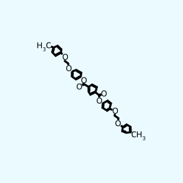 Cc1ccc(OCCOc2ccc(OC(=O)c3ccc(C(=O)Oc4ccc(OCCOc5ccc(C)cc5)cc4)cc3)cc2)cc1